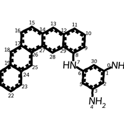 Nc1cc(N)cc(Nc2cccc3cc4ccc5cc6ccccc6cc5c4cc23)c1